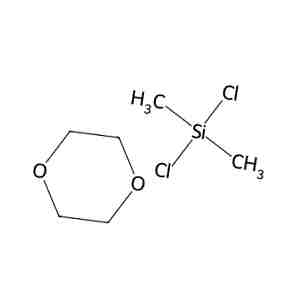 C1COCCO1.C[Si](C)(Cl)Cl